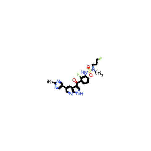 CC(C)c1ncc(-c2cnc3[nH]cc(C(=O)c4cccc(NS(=O)(=O)N(C)CCCF)c4F)c3c2)cn1